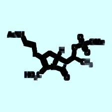 COS(=O)(=O)O[C@@H](C)[C@@H]1C(=O)N2C(C(=O)O)=C(S/C=C/NC(C)=O)C[C@H]12